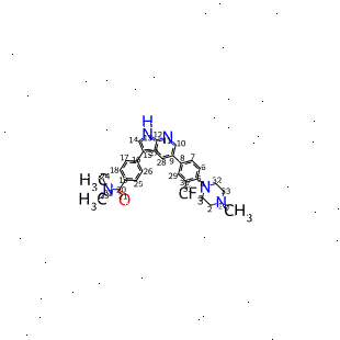 CN1CCN(c2ccc(-c3cnc4[nH]cc(-c5ccc(C(=O)N(C)C)cc5)c4c3)cc2C(F)(F)F)CC1